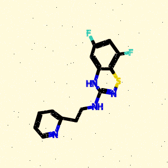 Fc1cc(F)c2c(c1)NC(NCCc1ccccn1)=NS2